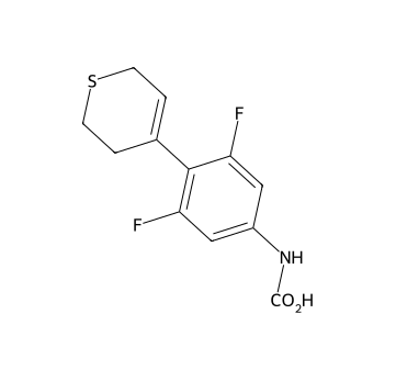 O=C(O)Nc1cc(F)c(C2=CCSCC2)c(F)c1